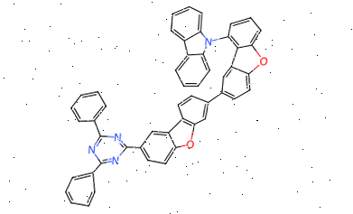 c1ccc(-c2nc(-c3ccccc3)nc(-c3ccc4oc5cc(-c6ccc7oc8cccc(-n9c%10ccccc%10c%10ccccc%109)c8c7c6)ccc5c4c3)n2)cc1